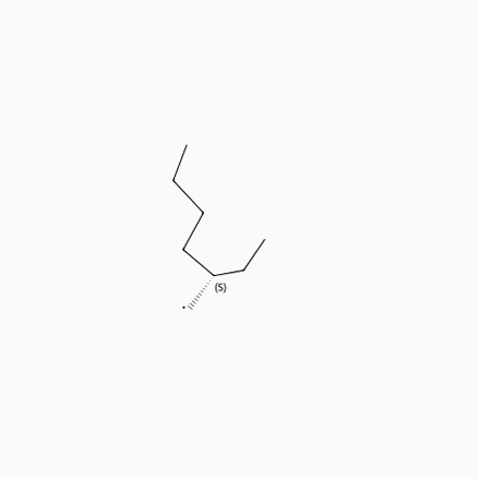 [CH2][C@@H](CC)CCCC